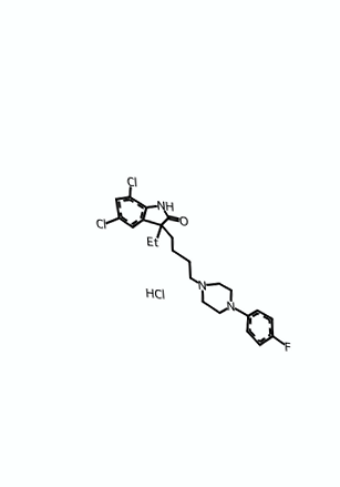 CCC1(CCCCN2CCN(c3ccc(F)cc3)CC2)C(=O)Nc2c(Cl)cc(Cl)cc21.Cl